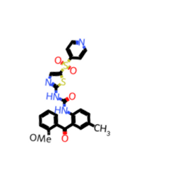 COc1ccccc1C(=O)c1cc(C)ccc1NC(=O)Nc1ncc(S(=O)(=O)c2ccncc2)s1